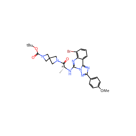 COc1ccc(-c2nc3c4cccc(Br)c4nc(N[C@H](C)C(=O)N4CC5(CN(C(=O)OC(C)(C)C)C5)C4)n3n2)cc1